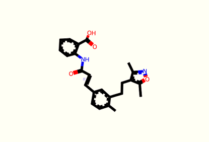 Cc1ccc(/C=C/C(=O)Nc2ccccc2C(=O)O)cc1CCc1c(C)noc1C